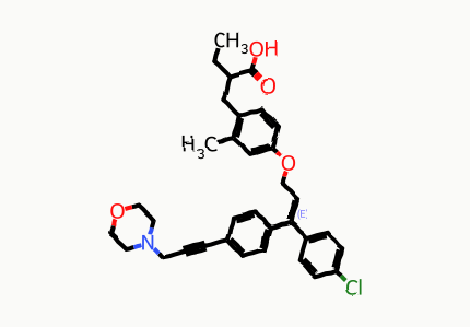 CCC(Cc1ccc(OC/C=C(/c2ccc(Cl)cc2)c2ccc(C#CCN3CCOCC3)cc2)cc1C)C(=O)O